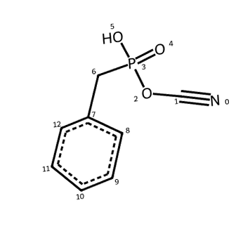 N#COP(=O)(O)Cc1ccccc1